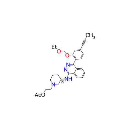 CC#Cc1ccc(-c2nnc(N[C@@H]3CCCN(CCOC(C)=O)C3)c3ccccc23)c(OCOCC)c1